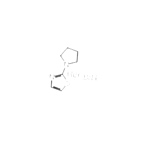 Br.Br.c1csc(N2CCCC2)n1